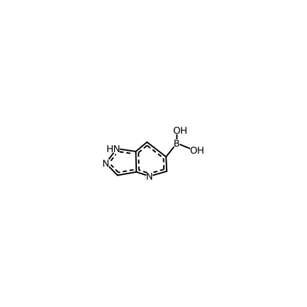 OB(O)c1cnc2cn[nH]c2c1